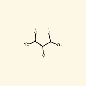 N#CC(Cl)C(Cl)C(Cl)Cl